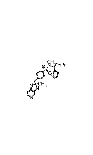 CC(C)CC(c1ccco1)N(C)S(=O)(=O)c1ccc(CC2(C)N=c3ccncc3=N2)cc1